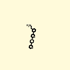 NCCc1cccc(-c2ccc(N3CC=C(c4cccnc4)CC3)nc2)c1